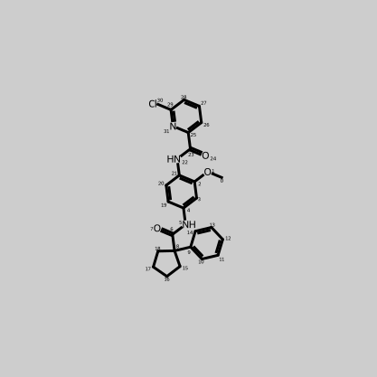 COc1cc(NC(=O)C2(c3ccccc3)CCCC2)ccc1NC(=O)c1cccc(Cl)n1